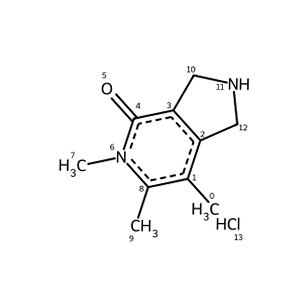 Cc1c2c(c(=O)n(C)c1C)CNC2.Cl